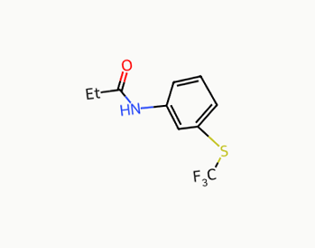 CCC(=O)Nc1cccc(SC(F)(F)F)c1